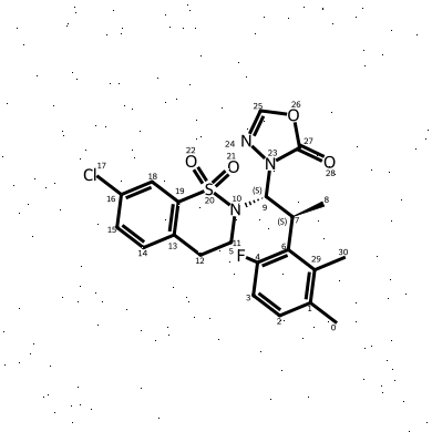 Cc1ccc(F)c([C@H](C)[C@H](N2CCc3ccc(Cl)cc3S2(=O)=O)n2ncoc2=O)c1C